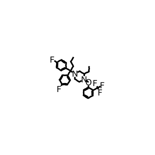 CCCC(c1ccc(F)cc1)(c1ccc(F)cc1)N1CCN(Oc2ccccc2C(F)(F)F)C(CC)C1